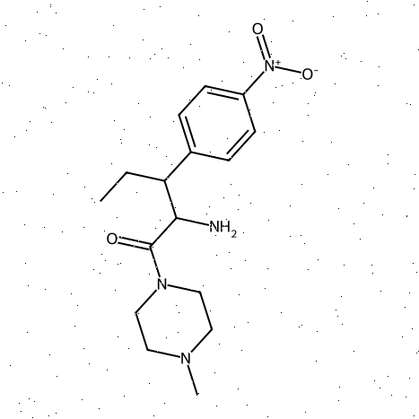 CCC(c1ccc([N+](=O)[O-])cc1)C(N)C(=O)N1CCN(C)CC1